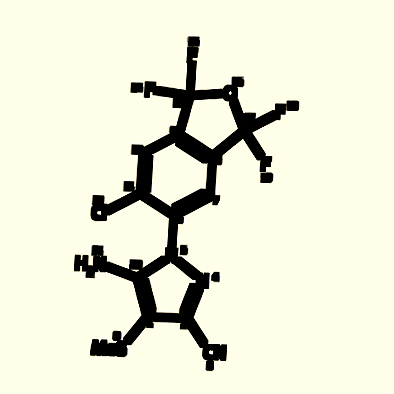 CSc1c(C#N)nn(-c2cc3c(cc2Cl)C(F)(F)OC3(F)F)c1N